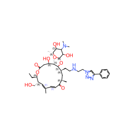 CC[C@H]1OC(=O)C[C@@H](O)[C@H](C)[C@@H](O[C@@H]2O[C@H](C)[C@@H](O)C(N(C)C)C2O)[C@@H](CCNCCn2cc(-c3ccccc3)nn2)C[C@@H](C)C(=O)/C=C/C(C)=C/[C@@H]1CO